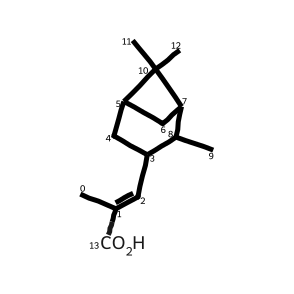 CC(=CC1CC2CC(C1C)C2(C)C)C(=O)O